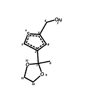 CC1(c2csc(CO)c2)OCCO1